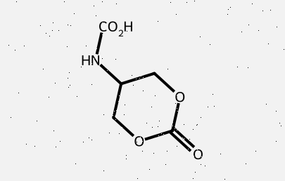 O=C(O)NC1COC(=O)OC1